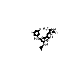 C=c1[nH]c(=O)[nH]/c1=C\c1cnn2c(NC3CC3)cc(Nc3cc(F)cc(F)c3)nc12